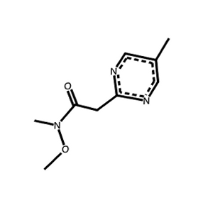 CON(C)C(=O)Cc1ncc(C)cn1